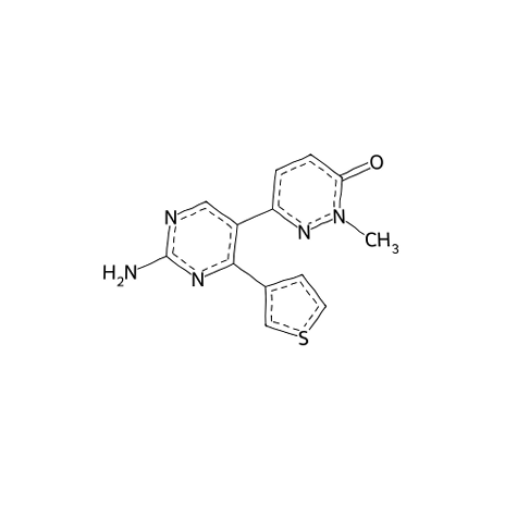 Cn1nc(-c2cnc(N)nc2-c2ccsc2)ccc1=O